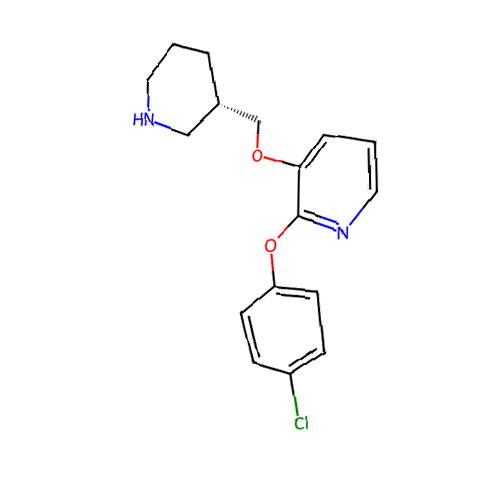 Clc1ccc(Oc2ncccc2OC[C@H]2CCCNC2)cc1